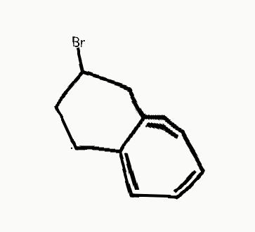 BrC1C[CH]c2ccccc2C1